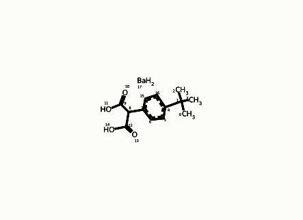 CC(C)(C)c1ccc(C(C(=O)O)C(=O)O)cc1.[BaH2]